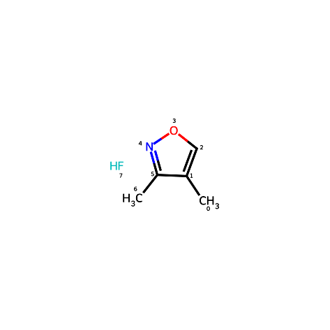 Cc1conc1C.F